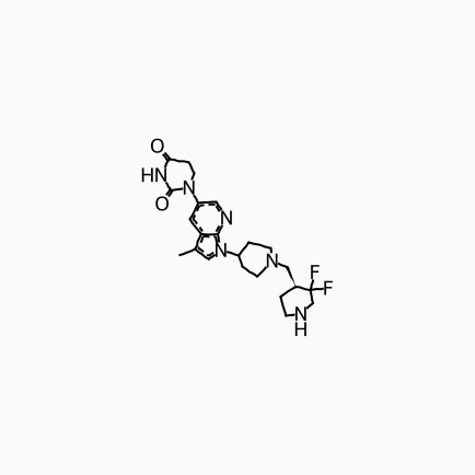 Cc1cn(C2CCN(C[C@@H]3CCNCC3(F)F)CC2)c2ncc(N3CCC(=O)NC3=O)cc12